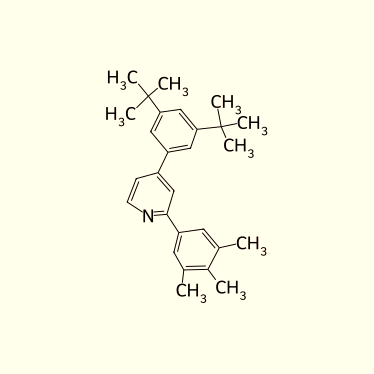 Cc1cc(-c2cc(-c3cc(C(C)(C)C)cc(C(C)(C)C)c3)ccn2)cc(C)c1C